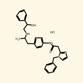 CC(Cc1ccc(NC(=O)Cc2nccn2Cc2ccccc2)cc1)NCC(O)c1ccccc1.Cl